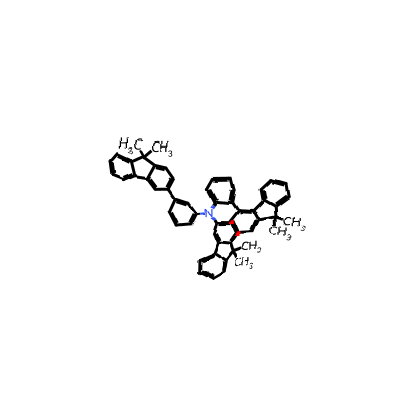 CC1(C)c2ccccc2-c2cc(-c3cccc(N(c4ccc5c(c4)-c4ccccc4C5(C)C)c4ccccc4-c4cccc5c4-c4ccccc4C5(C)C)c3)ccc21